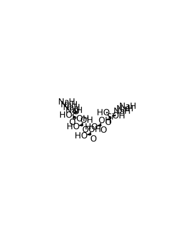 O=C(O)O.O=C(O)O.O=C(O)O.O=S(=O)(O)O.O=[Si](O)O.[NaH].[NaH].[NaH].[NaH].[NaH].[NaH].[NaH]